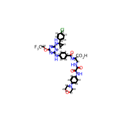 O=C(NC/C(=N/C(=O)c1ccc(Nc2nc(NC3(c4ccc(Cl)cc4)CC3)nc(OCC(F)(F)F)n2)cc1)C(=O)O)C(=O)Nc1ccc(N2CCOCC2)cc1